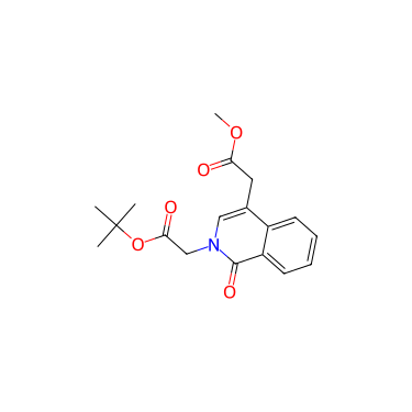 COC(=O)Cc1cn(CC(=O)OC(C)(C)C)c(=O)c2ccccc12